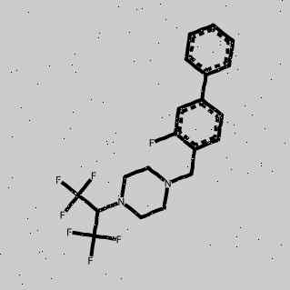 Fc1cc(-c2ccccc2)ccc1CN1CCN(C(C(F)(F)F)C(F)(F)F)CC1